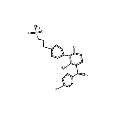 C=C(c1ccc(F)cc1)c1ccc(=O)n(-c2ccc(CCOS(C)(=O)=O)cc2)c1N